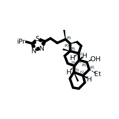 CC[C@H]1[C@@H](O)[C@@H]2[C@H](CC[C@]3(C)[C@@H]([C@H](C)CCc4nnc(C(C)C)s4)CC[C@@H]23)[C@@]2(C)CCCC[C@@H]12